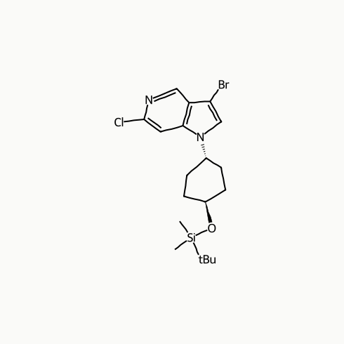 CC(C)(C)[Si](C)(C)O[C@H]1CC[C@H](n2cc(Br)c3cnc(Cl)cc32)CC1